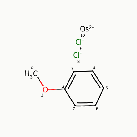 COc1ccccc1.[Cl-].[Cl-].[Os+2]